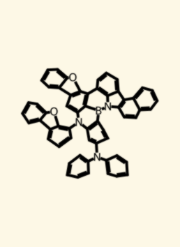 c1ccc(N(c2ccccc2)c2ccc3c(c2)N(c2cccc4c2oc2ccccc24)c2cc4c(oc5ccccc54)c4c2B3n2c3ccc5ccccc5c3c3cccc-4c32)cc1